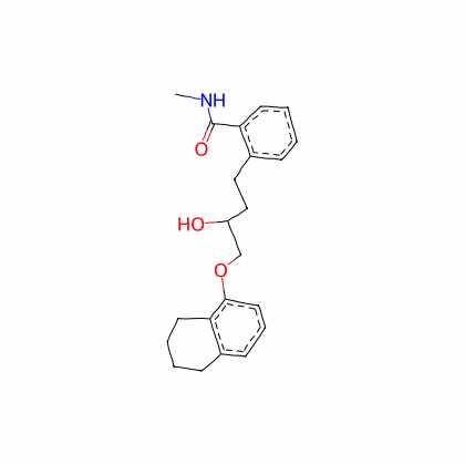 CNC(=O)c1ccccc1CCC(O)COc1cccc2c1CCCC2